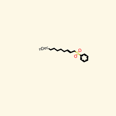 CCCCCCCCCCCCCCC/C=C/CS(=O)(=O)c1ccccc1